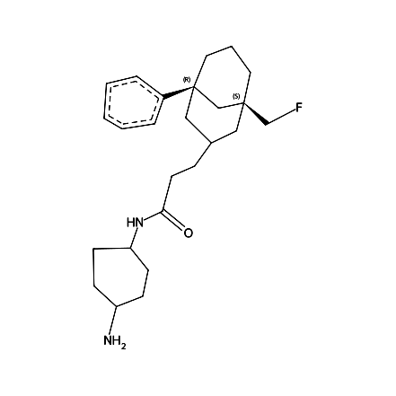 NC1CCC(NC(=O)CCC2C[C@@]3(CF)CCC[C@@](c4ccccc4)(C2)C3)CC1